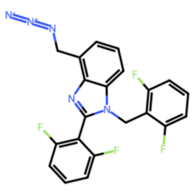 [N-]=[N+]=NCc1cccc2c1nc(-c1c(F)cccc1F)n2Cc1c(F)cccc1F